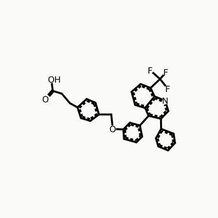 O=C(O)CCc1ccc(COc2cccc(-c3c(-c4ccccc4)cnc4c(C(F)(F)F)cccc34)c2)cc1